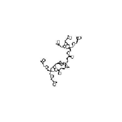 CN(CCC(=O)OCC(COCC1CO1)(COCC1CO1)COCC1CO1)NCCC(=O)OCC(COCC1CO1)(COCC1CO1)COCC1CO1